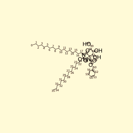 CCCCCCCCCCCCCCCCCCN(C(=O)OCCCCCCCCCCCCCC)[C@@H]1O[C@H](CO)[C@H](O)[C@H](O)[C@H]1NC(=O)OCc1ccccc1